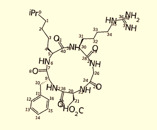 CC(C)CCCC[C@@H]1NC(=O)[C@@H](Cc2ccccc2)NC(=O)[C@H](CC(=O)O)NC(=O)CNC(=O)[C@H](CCCCNC(=N)N)NC1=O